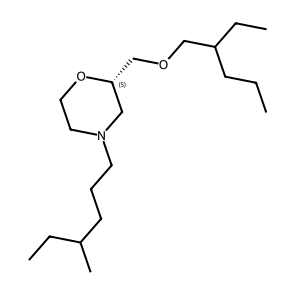 CCCC(CC)COC[C@@H]1CN(CCCC(C)CC)CCO1